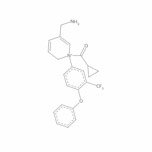 NCC1=C[N+](C(=O)C2CC2)(c2ccc(Oc3ccccc3)c(C(F)(F)F)c2)CC=C1